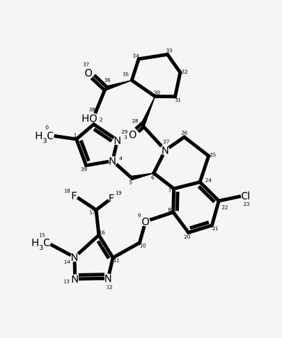 Cc1cnn(C[C@@H]2c3c(OCc4nnn(C)c4C(F)F)ccc(Cl)c3CCN2C(=O)[C@@H]2CCCC[C@@H]2C(=O)O)c1